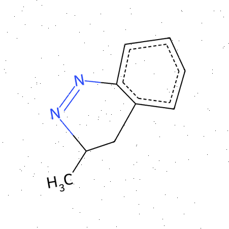 CC1Cc2ccccc2N=N1